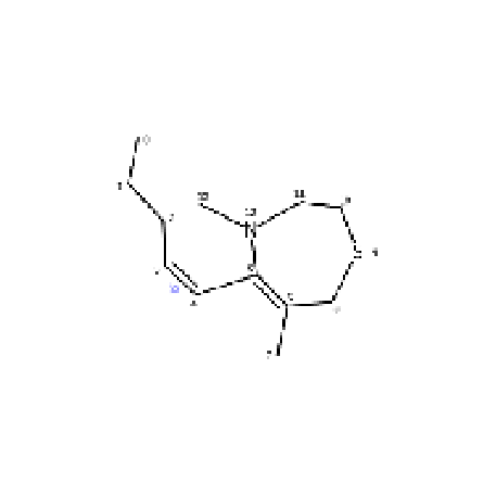 CCC/C=C\C1=C(C)CSCCN1C